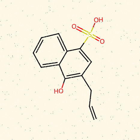 C=CCc1cc(S(=O)(=O)O)c2ccccc2c1O